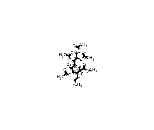 CCC[C@H]1[C@H](OC(C)=O)[C@@H](C)[C@H]([C@H](OC(C)=O)[C@@H](COC(C)=O)OC(C)=O)O[C@]1(Cl)C(=O)OC